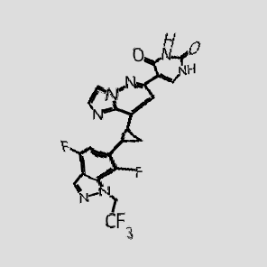 O=c1[nH]cc(-c2cc(C3CC3c3cc(F)c4cnn(CC(F)(F)F)c4c3F)c3nccn3n2)c(=O)[nH]1